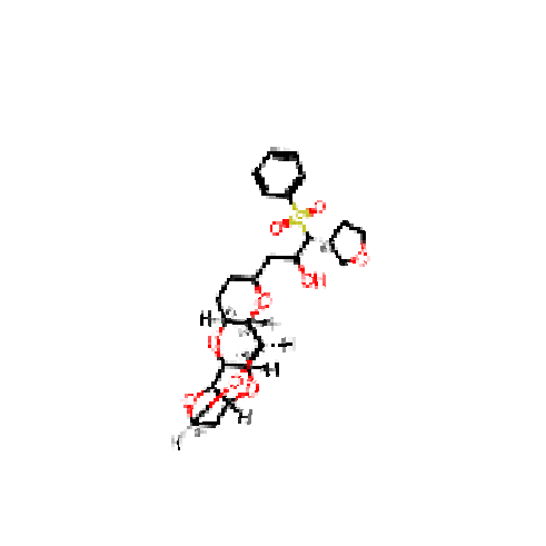 O=S(=O)(c1ccccc1)C(C(O)CC1CC[C@@H]2OC3C4O[C@@H]5C[C@H]4O[C@H]3[C@@H](O5)[C@H]2O1)[C@@H]1CCOC1